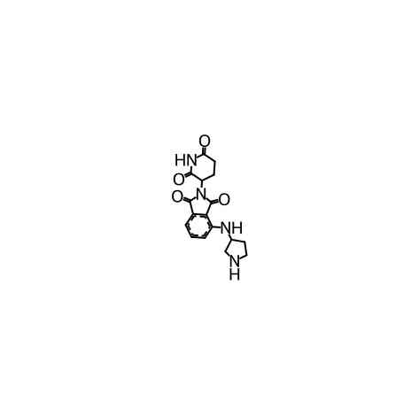 O=C1CCC(N2C(=O)c3cccc(NC4CCNC4)c3C2=O)C(=O)N1